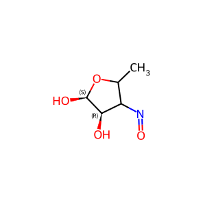 CC1O[C@H](O)[C@H](O)C1N=O